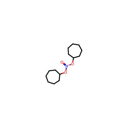 O=[N+](OC1CCCCCC1)OC1CCCCCC1